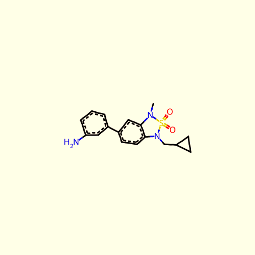 CN1c2cc(-c3cccc(N)c3)ccc2N(CC2CC2)S1(=O)=O